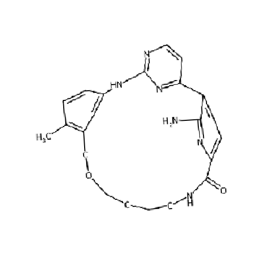 Cc1ccc2cc1COCCCCNC(=O)c1ccc(c(N)n1)-c1ccnc(n1)N2